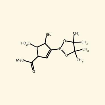 COC(=O)C1C=C(B2OC(C)(C)C(C)(C)O2)C(C(C)(C)C)N1C(=O)O